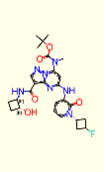 CN(C(=O)OC(C)(C)C)c1cc(Nc2cccn([C@H]3C[C@H](F)C3)c2=O)nc2c(C(=O)N[C@@H]3CC[C@H]3O)cnn12